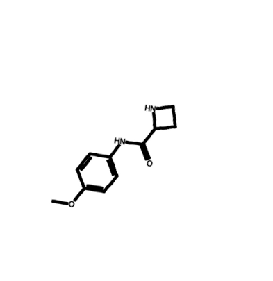 COc1ccc(NC(=O)C2CCN2)cc1